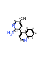 N#CC1=CC(c2ccnc3ccccc23)C(N)N=C1